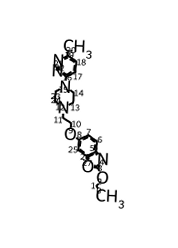 CCOc1nc2ccc(OCCN3CCN(c4ccc(C)nn4)CC3)cc2o1